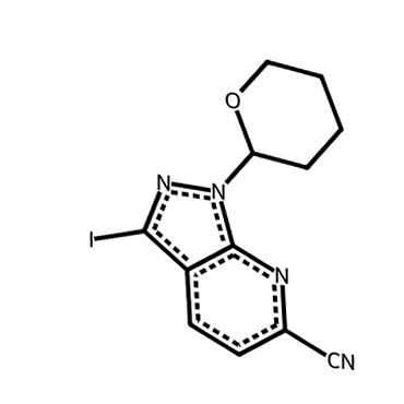 N#Cc1ccc2c(I)nn(C3CCCCO3)c2n1